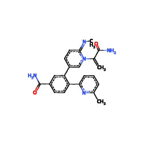 C=C(C(N)=O)n1cc(-c2cc(C(N)=O)ccc2-c2cccc(C)n2)cc/c1=N/C